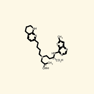 CO[C@H](C)CN(CCCCc1ccc2c(n1)NCCC2)CC[C@H](Nc1ncnc2cc(C)sc12)C(=O)O